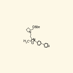 COCC1CCCN1CCc1nc(-c2ccc(-c3ccncc3)cc2)oc1C